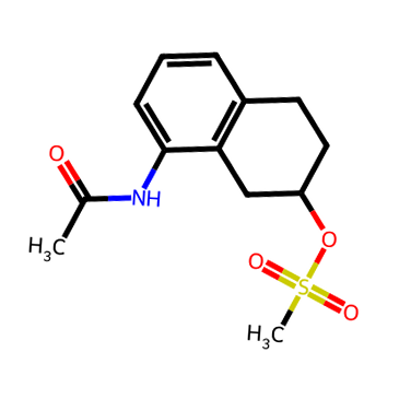 CC(=O)Nc1cccc2c1CC(OS(C)(=O)=O)CC2